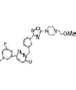 COCCN1CCN(c2nc(-c3cccc(Cn4nc(-c5cc(F)cc(F)c5)ccc4=O)c3)no2)CC1